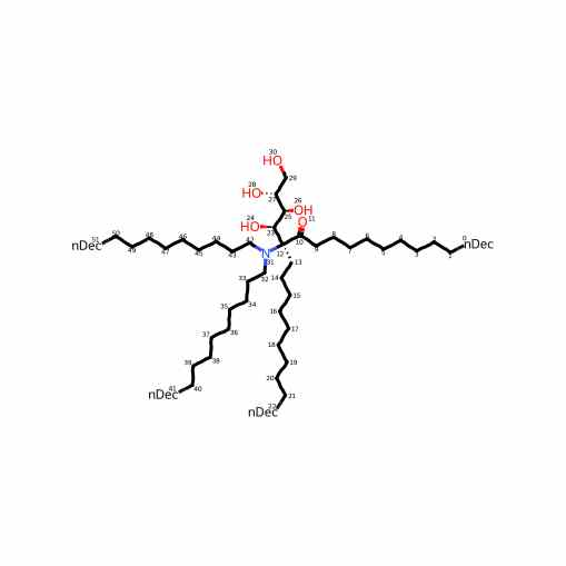 CCCCCCCCCCCCCCCCCCCC(=O)[C@](CCCCCCCCCCCCCCCCCCC)([C@@H](O)[C@H](O)[C@H](O)CO)N(CCCCCCCCCCCCCCCCCCC)CCCCCCCCCCCCCCCCCCC